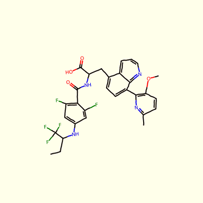 CCC(Nc1cc(F)c(C(=O)NC(Cc2ccc(-c3nc(C)ccc3OC)c3ncccc23)C(=O)O)c(F)c1)C(F)(F)F